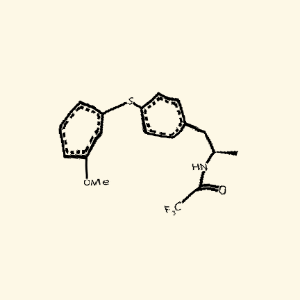 COc1cccc(Sc2ccc(C[C@@H](C)NC(=O)C(F)(F)F)cc2)c1